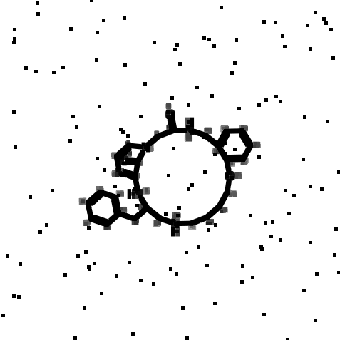 O=C1Cn2ccnc(c2=O)NC(Cc2ccccc2)CNCCCCOc2ccccc2CN1